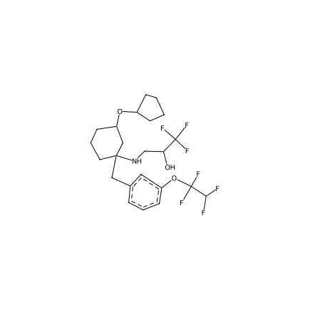 OC(CNC1(Cc2cccc(OC(F)(F)C(F)F)c2)CCCC(OC2CCCC2)C1)C(F)(F)F